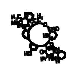 CCn1c(-c2cccnc2[C@H](C)OC)c2c3cc(ccc31)-c1cc(O)cc(c1)C[C@H](NC(=O)[C@H](C(C)C)N1N[C@H]3CCCC[C@@H]3C1=O)C(=O)N1CCC[C@](C=O)(COCC(C)(C)C2)N1